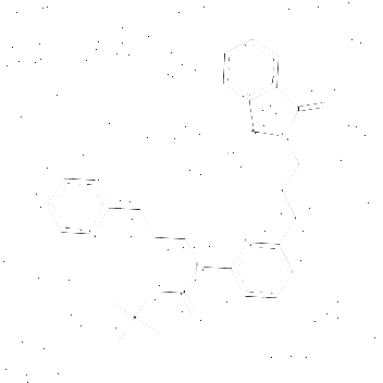 CC(C)(C)OC(=O)N(CCCc1ccccn1)c1cccc(CCCN2C(=O)c3ccccc3C2=O)n1